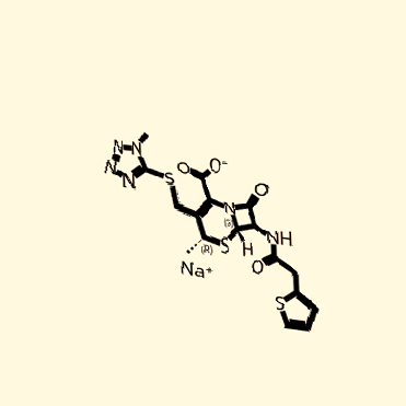 C[C@H]1S[C@H]2C(NC(=O)Cc3cccs3)C(=O)N2C(C(=O)[O-])=C1CSc1nnnn1C.[Na+]